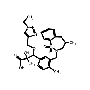 CCn1cc(CO[C@@H](c2ccc(C)c(CN3C[C@H](C)Cc4ccccc4S3(=O)=O)c2)C(C)(C)C(=O)O)nn1